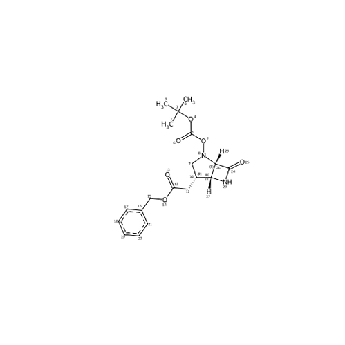 CC(C)(C)OC(=O)ON1C[C@@H](CC(=O)OCc2ccccc2)[C@H]2NC(=O)[C@H]21